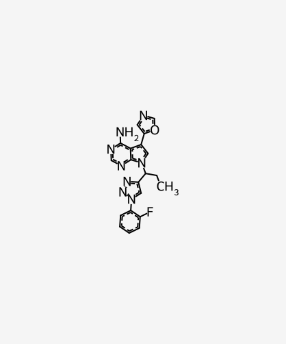 CCC(c1cn(-c2ccccc2F)nn1)n1cc(-c2cnco2)c2c(N)ncnc21